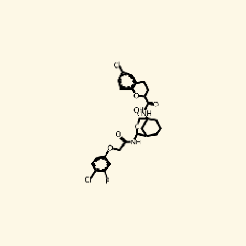 O=C(COc1ccc(Cl)c(F)c1)NC1C[C@H](O)C2(NC(=O)C3CCc4cc(Cl)ccc4O3)CCCC1C2